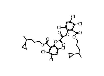 CC(CCCOC(=O)c1c(Cl)c(Cl)cc(Cl)c1OC(=O)C(=O)Oc1c(Cl)cc(Cl)c(Cl)c1C(=O)OCCCC(C)C1CC1)C1CC1